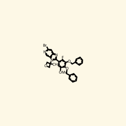 COc1cc(-c2nc3cc(Br)ncc3n2C2(C)COC2)c(F)c(OCc2ccccc2)c1OCc1ccccc1